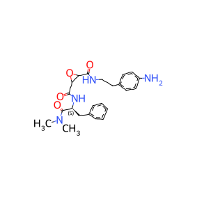 CN(C)C(=O)[C@H](Cc1ccccc1)NC(=O)C1OC1C(=O)NCCc1ccc(N)cc1